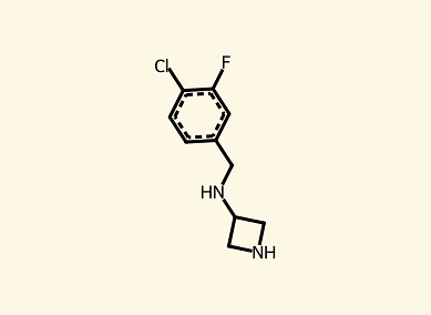 Fc1cc(CNC2CNC2)ccc1Cl